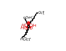 CCCCCCCCC=CCCCCCCCC(=O)C(O)(C(=O)CCCCCCCC=CCCCCCCCC)C(O)(CO)C(=O)CCCCCCCCCCCCCCC